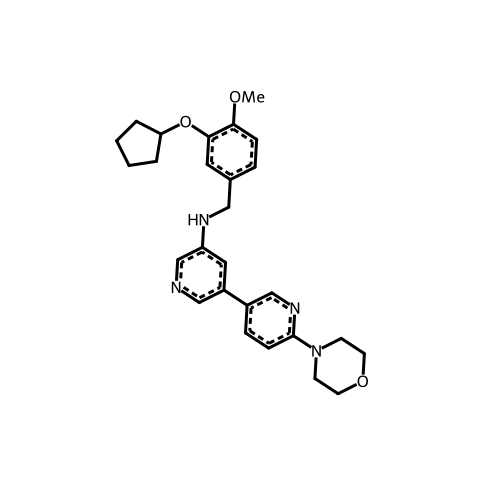 COc1ccc(CNc2cncc(-c3ccc(N4CCOCC4)nc3)c2)cc1OC1CCCC1